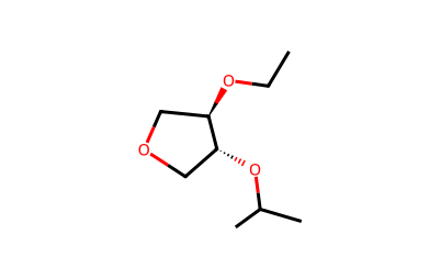 CCO[C@@H]1COC[C@H]1OC(C)C